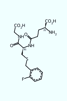 N[C@@H](CCC(=O)N[C@@H](CSCc1ccccc1F)C(=O)NCC(=O)O)C(=O)O